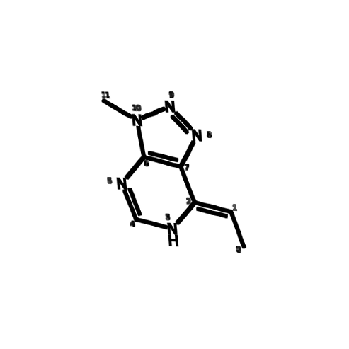 CC=C1NC=Nc2c1nnn2C